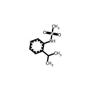 CC(C)c1cc[c]cc1NS(C)(=O)=O